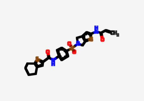 C=CC(=O)Nc1cc2c(s1)CN(S(=O)(=O)c1ccc(NC(=O)c3cc4c(s3)CCCC4)cc1)C2